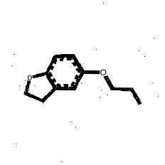 CCCOc1ccc2c(c1)CCO2